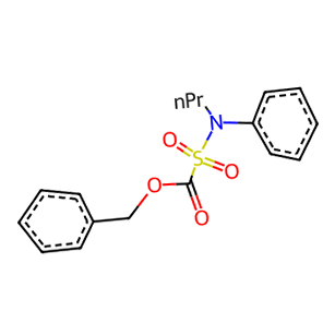 CCCN(c1ccccc1)S(=O)(=O)C(=O)OCc1ccccc1